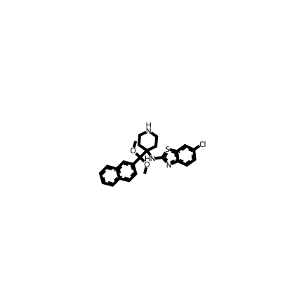 COC(OC)(c1ccc2ccccc2c1)C1(Nc2nc3ccc(Cl)cc3s2)CCNCC1